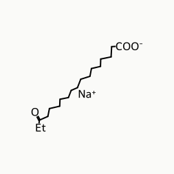 CCC(=O)CCCCCCCCCCCCCCC(=O)[O-].[Na+]